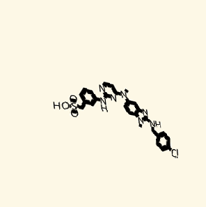 CN(c1ccc2c(c1)nc(NCc1ccc(Cl)cc1)n2C)c1ccnc(Nc2cccc(CS(=O)(=O)O)c2)n1